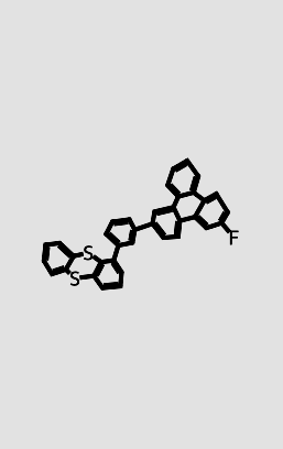 Fc1ccc2c3ccccc3c3cc(-c4cccc(-c5cccc6c5Sc5ccccc5S6)c4)ccc3c2c1